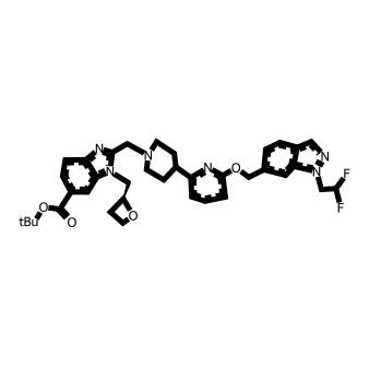 CC(C)(C)OC(=O)c1ccc2nc(CN3CCC(c4cccc(OCc5ccc6cnn(CC(F)F)c6c5)n4)CC3)n(C[C@@H]3CCO3)c2c1